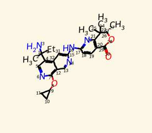 CCC(C)(N)c1cnc(OC2CC2)c2cnc(Nc3ccc4c(n3)C(C)(C)[C@H](C)OC4=O)cc12